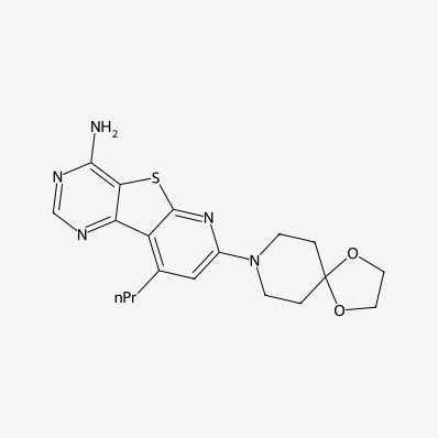 CCCc1cc(N2CCC3(CC2)OCCO3)nc2sc3c(N)ncnc3c12